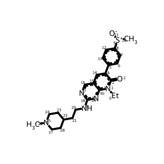 CCn1c(=O)c(-c2ccc([S+](C)[O-])cc2)cc2cnc(NCCC3CCN(C)CC3)nc21